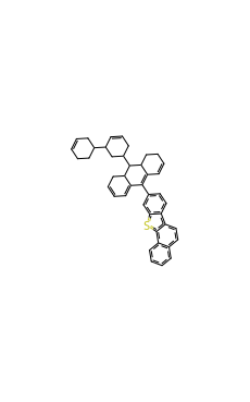 C1=CCC2C(=C1)C(c1ccc3c(c1)sc1c4ccccc4ccc31)=C1C=CCCC1C2C1CC=CC(C2CC=CCC2)C1